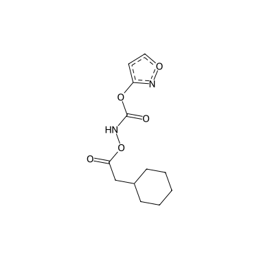 O=C(CC1CCCCC1)ONC(=O)Oc1ccon1